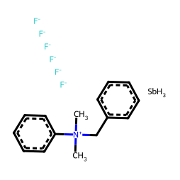 C[N+](C)(Cc1ccccc1)c1ccccc1.[F-].[F-].[F-].[F-].[F-].[F-].[SbH3]